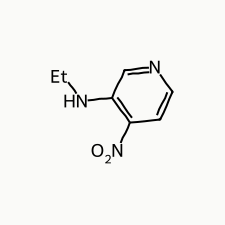 CCNc1cnccc1[N+](=O)[O-]